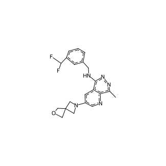 Cc1nnc(NCc2cccc(C(F)F)c2)c2cc(N3CC4(COC4)C3)cnc12